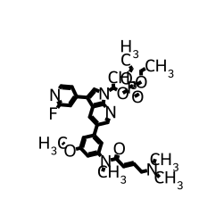 CCOP(=O)(OCC)OC(C)n1cc(-c2ccnc(F)c2)c2cc(-c3cc(OC)cc(N(C)C(=O)/C=C/CN(C)C)c3)cnc21